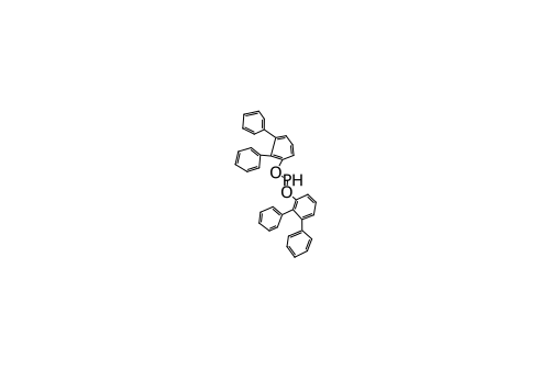 c1ccc(-c2cccc(OPOc3cccc(-c4ccccc4)c3-c3ccccc3)c2-c2ccccc2)cc1